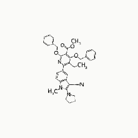 CCc1c(-c2ccc3c(c2)c(C#N)c(N2CCCC2)n3C)nc(OCc2ccccc2)c(C(=O)OC)c1OCc1ccccc1